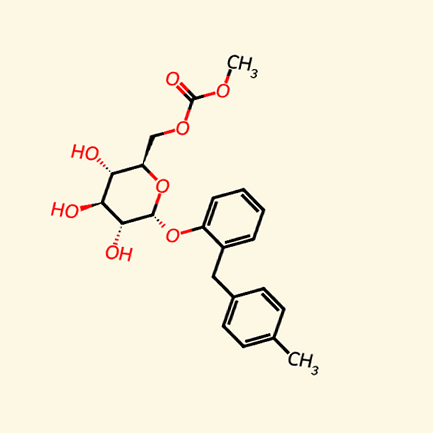 COC(=O)OC[C@H]1O[C@H](Oc2ccccc2Cc2ccc(C)cc2)[C@H](O)[C@@H](O)[C@@H]1O